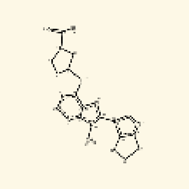 CCC(=O)N1CCC(Oc2ncnc3c2nc(-c2cnn4c2CCC4)n3C)C1